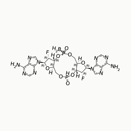 B[P@@]1(=O)OC[C@H]2O[C@@H](n3cnc4c(N)ncnc43)[C@H](F)[C@@H]2O[PH](=O)OC[C@H]2O[C@@H](n3cnc4c(N)ncnc43)[C@H](F)[C@@H]2O1